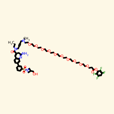 CCCN(CC#CCN(C)CCOCCOCCOCCOCCOCCOCCOCCOCCOCCOCCC(=O)Oc1c(F)c(F)cc(F)c1F)C(=O)C1=Cc2ccc(-c3cccc(S(=O)(=O)N4CC(CO)C4)c3)cc2N=C(N)C1